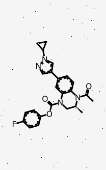 CC(=O)N1c2ccc(-c3cnn(C4CC4)c3)cc2N(C(=O)Oc2ccc(F)cc2)C[C@@H]1C